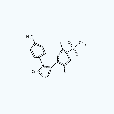 Cc1ccc(-n2c(-c3cc(F)c(S(C)(=O)=O)cc3F)coc2=O)cc1